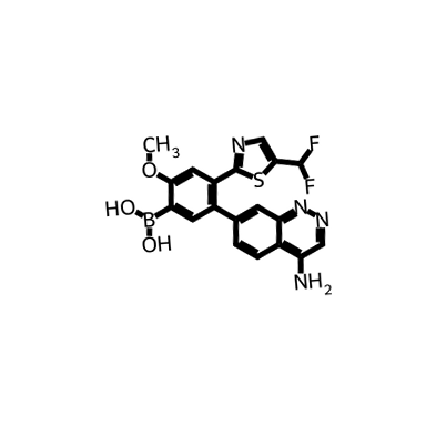 COc1cc(-c2ncc(C(F)F)s2)c(-c2ccc3c(N)cnnc3c2)cc1B(O)O